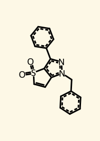 O=S1(=O)C=Cc2c1c(-c1ccccc1)nn2Cc1ccccc1